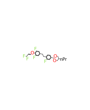 CCCC1COC(c2ccc(CCc3cc(F)c(O/C=C/C(F)F)c(F)c3)c(F)c2)OC1